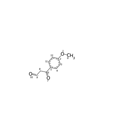 COc1ccc(C(=O)C[C]=O)cc1